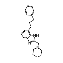 c1ccc(CCCc2cccc3nc(CN4CCCCC4)[nH]c23)cc1